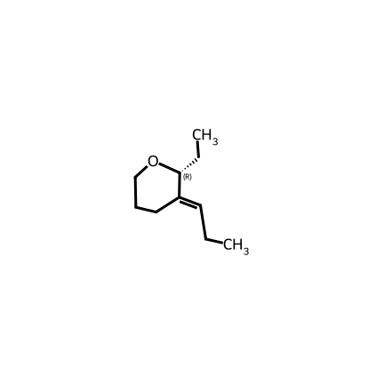 CCC=C1CCCO[C@@H]1CC